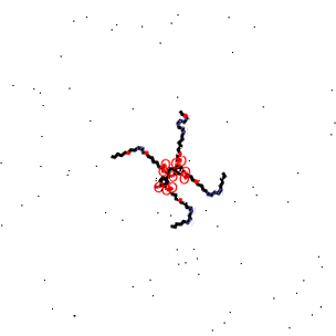 CC/C=C\C/C=C\C/C=C\CCCCCCCC(=O)Oc1cc(OC(=O)CCCCCCC/C=C\C/C=C\CCCCC)cc2c1CC(OC(=O)CCCCCCC/C=C\CCCCCCCC)C(c1ccc(OC)c(OC(=O)CCCCCCC/C=C\C/C=C\CCCCC)c1)O2